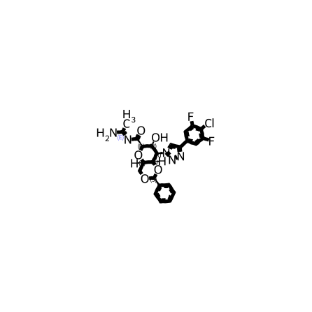 C/C(N)=N\C(=O)[C@@H]1O[C@@H]2CO[C@H](c3ccccc3)O[C@@H]2[C@H](n2cc(-c3cc(F)c(Cl)c(F)c3)nn2)[C@H]1O